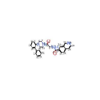 O=C(NCC(=O)N1CCN(c2ccccc2-c2ccccc2)CC1)c1ccc2ccncc2c1